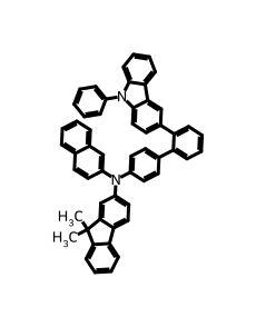 CC1(C)c2ccccc2-c2ccc(N(c3ccc(-c4ccccc4-c4ccc5c(c4)c4ccccc4n5-c4ccccc4)cc3)c3ccc4ccccc4c3)cc21